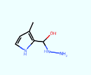 Cc1cc[nH]c1C(O)NN